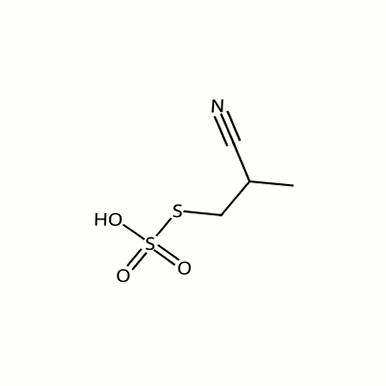 CC(C#N)CSS(=O)(=O)O